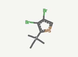 C[Si](C)(C)c1scc(Br)c1Br